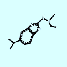 CCN(C)Pc1nc2cc(C(C)C)ccc2o1